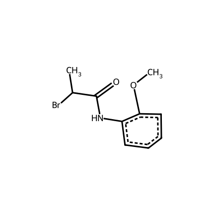 COc1ccccc1NC(=O)C(C)Br